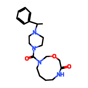 CC(c1ccccc1)N1CCN(C(=O)N2CCCCNC(=O)COC2)CC1